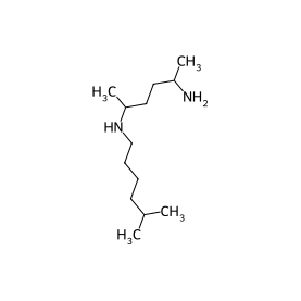 CC(C)CCCCNC(C)CCC(C)N